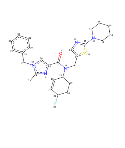 Cc1nc(C(=O)N(Cc2cnc(N3CCCCC3)s2)C2C=CC(F)CC2)cn1Cc1ccccc1